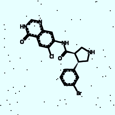 O=C(Nc1cc2nc[nH]c(=O)c2cc1Cl)[C@H]1CNC[C@@H]1c1cccc(Br)c1